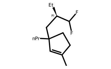 CCCC1(C[C@@H](CC)C(F)F)C=C(C)CC1